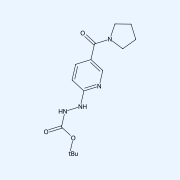 CC(C)(C)OC(=O)NNc1ccc(C(=O)N2CCCC2)cn1